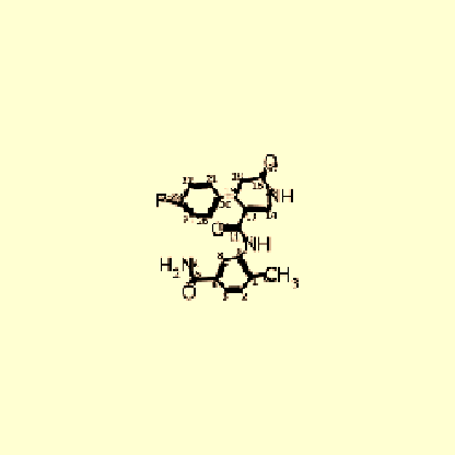 Cc1ccc(C(N)=O)cc1NC(=O)C1=CNC(=O)C[C@H]1c1ccc(F)cc1